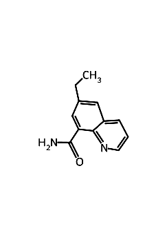 CCc1cc(C(N)=O)c2ncccc2c1